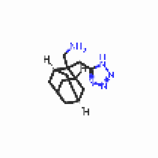 NCC1(Cc2nnn[nH]2)[C@H]2CC3C[C@H](C2)C[C@H]1C3